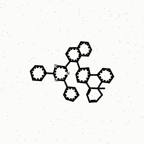 CC12CC=CC=C1c1ccc(-c3c(-c4nc(-c5ccccc5)nc(-c5ccccc5)n4)ccc4ccccc34)cc1-c1ccccc12